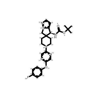 CC(C)(C)OC(=O)N[C@@H]1c2ccnn2CC12CCN(c1cnc(Oc3ccc(F)cc3)cn1)CC2